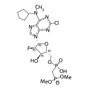 COP(=O)(CP(=O)(O)OC[C@H]1O[C@@H](n2cnc3c(N(C)C4CCCC4)nc(Cl)nc32)[C@H](F)[C@@H]1O)OC